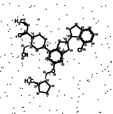 C=CC(=O)N1CCN(c2nc(OC[C@@H]3CCCN3C)nc3c2CN(C2CCc4cccc(Cl)c42)C3)C[C@@H]1CC#N